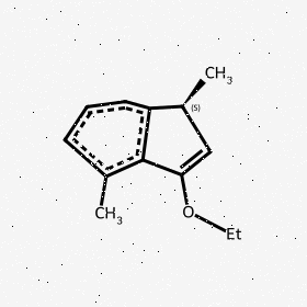 CCOC1=C[C@H](C)c2cccc(C)c21